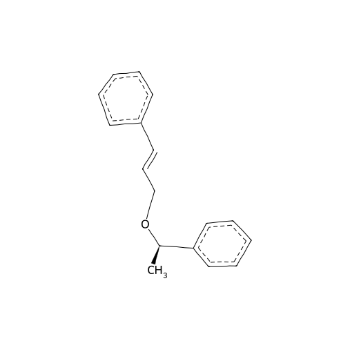 C[C@@H](OC/C=C/c1ccccc1)c1ccccc1